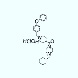 Cl.Cl.O=C(C1CCN(Cc2ccc(Oc3ccccc3)cc2)CC1)N1CCN(CC2CCCCC2)CC1